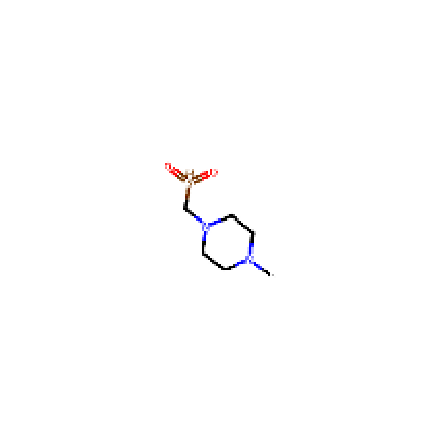 [CH2]N1CCN(C[SH](=O)=O)CC1